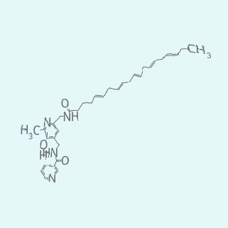 CCC=CCC=CCC=CCC=CCC=CCCCC(=O)NCc1cc(CNC(=O)c2cccnc2)c(O)c(C)n1